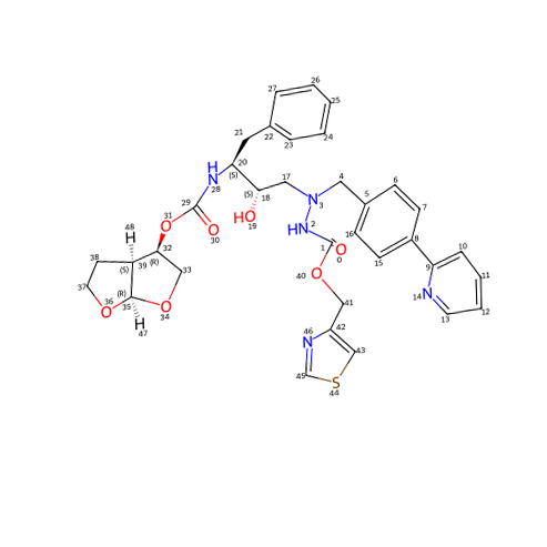 O=C(NN(Cc1ccc(-c2ccccn2)cc1)C[C@H](O)[C@H](Cc1ccccc1)NC(=O)O[C@H]1CO[C@H]2OCC[C@H]21)OCc1cscn1